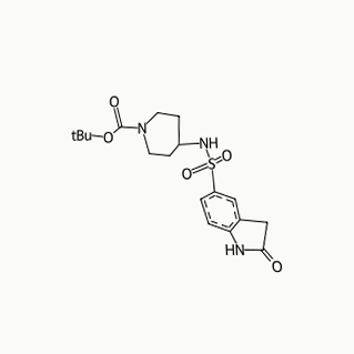 CC(C)(C)OC(=O)N1CCC(NS(=O)(=O)c2ccc3c(c2)CC(=O)N3)CC1